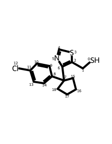 SCc1scnc1C1(c2ccc(Cl)cc2)CCCC1